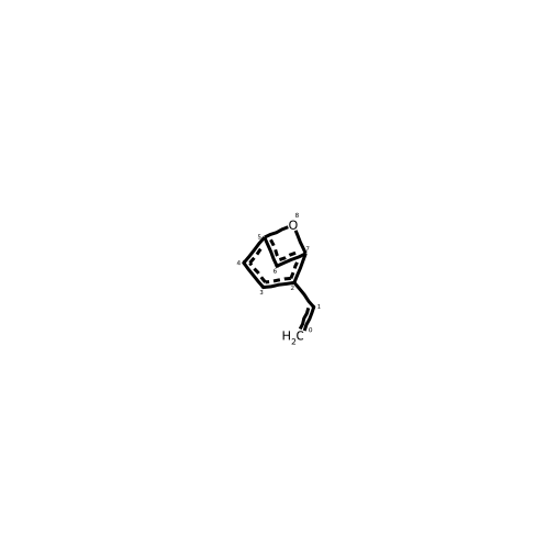 C=Cc1ccc2cc1O2